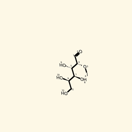 O=C[C@H](OI)[C@@H](O)[C@@H](O)[C@H](O)CO